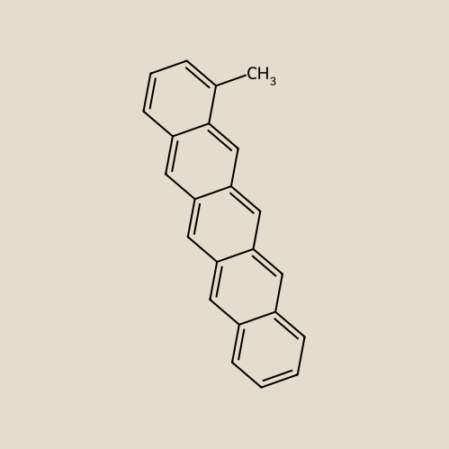 Cc1cccc2cc3cc4cc5ccccc5cc4cc3cc12